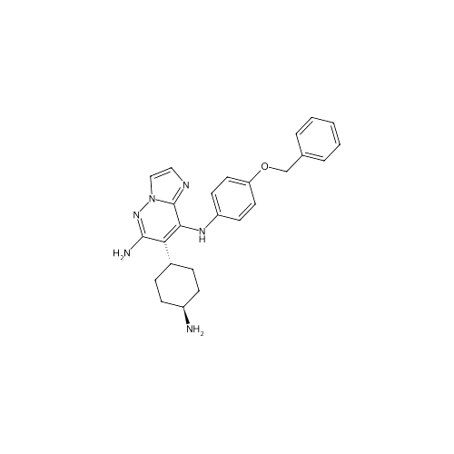 Nc1nn2ccnc2c(Nc2ccc(OCc3ccccc3)cc2)c1[C@H]1CC[C@H](N)CC1